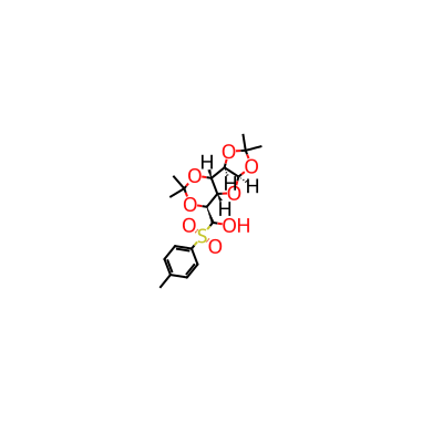 Cc1ccc(S(=O)(=O)C(O)[C@H]2OC(C)(C)O[C@@H]3[C@H]4OC(C)(C)O[C@H]4O[C@@H]32)cc1